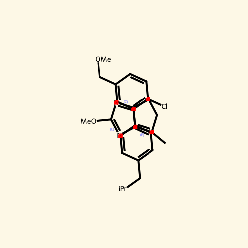 COCc1ccc(Cl)c(C2=C(/C)CC/C(c3ccc(CC(C)C)cc3)=N/C(OC)=N\2)c1